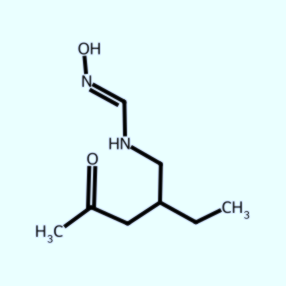 CCC(CNC=NO)CC(C)=O